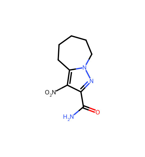 NC(=O)c1nn2c(c1[N+](=O)[O-])CCCCC2